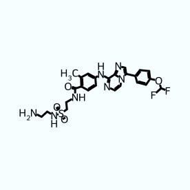 Cc1cc(Nc2nccn3c(-c4ccc(OC(F)F)cc4)cnc23)ccc1C(=O)NCCS(=O)(=O)NCCN